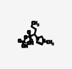 CCCC(N1C=CN(C)C1)S(=O)(=O)OP(=O)(O)O